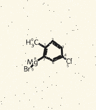 Cc1ccc(Cl)c[c]1[Mg][Br]